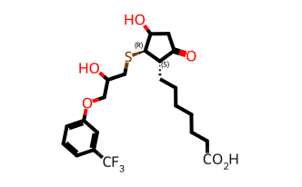 O=C(O)CCCCCC[C@H]1C(=O)CC(O)[C@@H]1SCC(O)COc1cccc(C(F)(F)F)c1